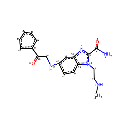 CNCCn1c(C(N)=O)nc2cc(NCC(=O)c3ccccc3)ccc21